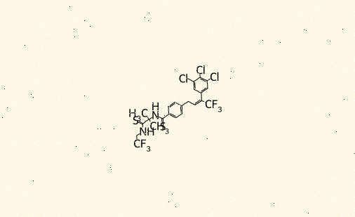 CC(C)(NC(=S)c1ccc(CC=C(c2cc(Cl)c(Cl)c(Cl)c2)C(F)(F)F)cc1)C(=S)NCC(F)(F)F